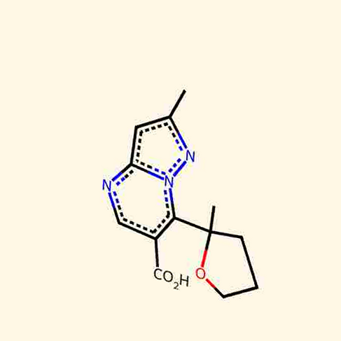 Cc1cc2ncc(C(=O)O)c(C3(C)CCCO3)n2n1